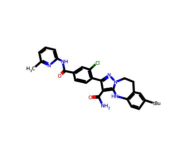 Cc1cccc(NC(=O)c2ccc(-c3nn4c(c3C(N)=O)Nc3ccc(C(C)(C)C)cc3CC4)c(Cl)c2)n1